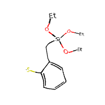 CCO[Si](Cc1ccccc1[S])(OCC)OCC